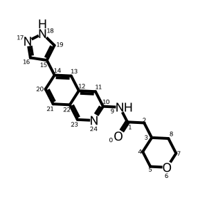 O=C(CC1CCOCC1)Nc1cc2cc(-c3cn[nH]c3)ccc2cn1